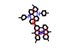 Cc1ccc(N(c2ccc(C)cc2)c2ccccc2-c2cc(Oc3ccc(N(c4ccc(C)cc4)c4ccc(C)cc4)c(-c4ccccc4N(c4ccc(C)cc4)c4ccc(C)cc4)c3)ccc2N(c2ccc(C)cc2)c2ccc(C)cc2)cc1